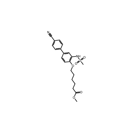 COC(=O)CCCCCOc1ccc(-c2ccc(C#N)cc2)cc1NS(C)(=O)=O